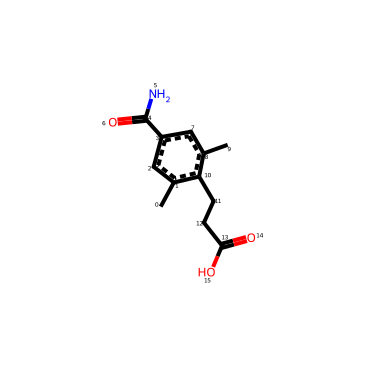 Cc1cc(C(N)=O)cc(C)c1CCC(=O)O